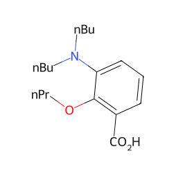 CCCCN(CCCC)c1cccc(C(=O)O)c1OCCC